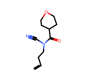 C=CCCN(C#N)C(=O)C1CCOCC1